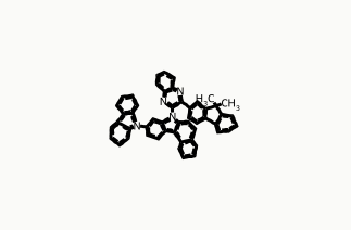 CC1(C)c2ccccc2-c2ccc(-c3nc4ccccc4nc3-n3c4cc(-n5c6ccccc6c6ccccc65)ccc4c4c5ccccc5ccc43)cc21